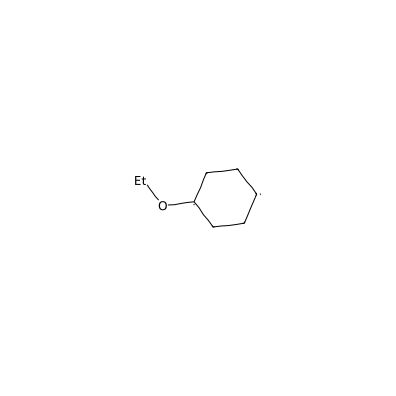 CCO[C]1CC[CH]CC1